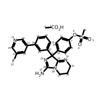 CC(=O)O.CS(=O)(=O)Oc1ccc(C2(c3cccc(-c4cncc(F)c4)c3)N=C(N)N3CCCN=C32)cc1